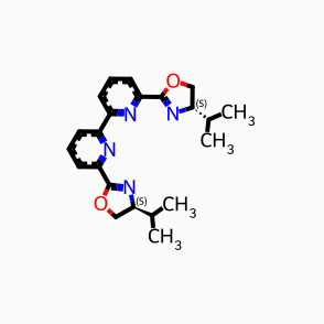 CC(C)[C@H]1COC(c2cccc(-c3cccc(C4=N[C@@H](C(C)C)CO4)n3)n2)=N1